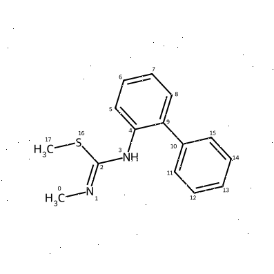 C/N=C(/Nc1ccccc1-c1ccccc1)SC